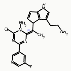 C/C(=C1\N=C(c2cncc(F)c2)N=C(Cl)N1N)C1C=Cc2[nH]cc(CCN)c21